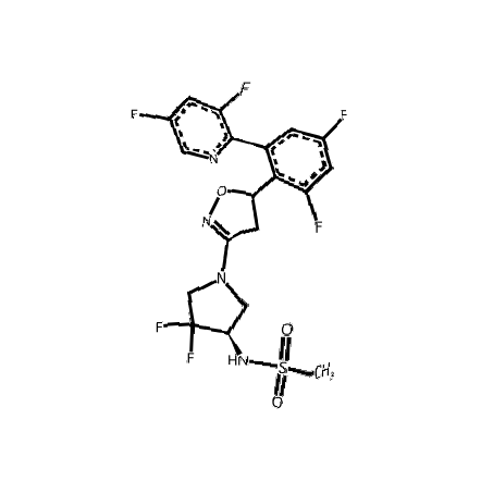 CS(=O)(=O)N[C@@H]1CN(C2=NOC(c3c(F)cc(F)cc3-c3ncc(F)cc3F)C2)CC1(F)F